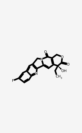 CC[C@@]1(O)C(=O)OCc2c1cc1n(c2=O)Cc2cc3cc(F)ccc3nc2-1